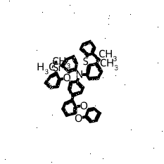 CC1(C)c2ccccc2Sc2c(N(c3ccc(-c4cccc5c4Oc4ccccc4O5)cc3)c3cccc4c3Oc3ccccc3[Si]4(C)C)cccc21